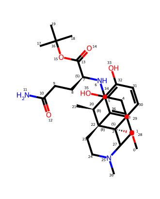 CO[C@@]12CCC(N[C@@H](CCC(N)=O)C(=O)OC(C)(C)C)[C@H](C)[C@@]13CCN(C)C2Cc1ccc(O)c(O)c13